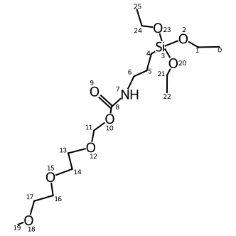 CCO[Si](CCCNC(=O)OCOCCOCCOC)(OCC)OCC